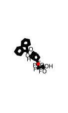 O=S(=O)(O)C(F)(F)C(F)(F)C1CC2CC1[C@@H]1OC(c3ccccc3)(c3ccccc3)OC21